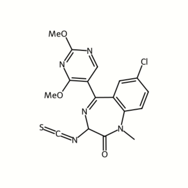 COc1ncc(C2=NC(N=C=S)C(=O)N(C)c3ccc(Cl)cc32)c(OC)n1